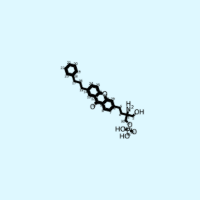 NC(CO)(CCc1ccc2c(=O)c3cc(CCCc4ccccc4)ccc3oc2c1)COP(=O)(O)O